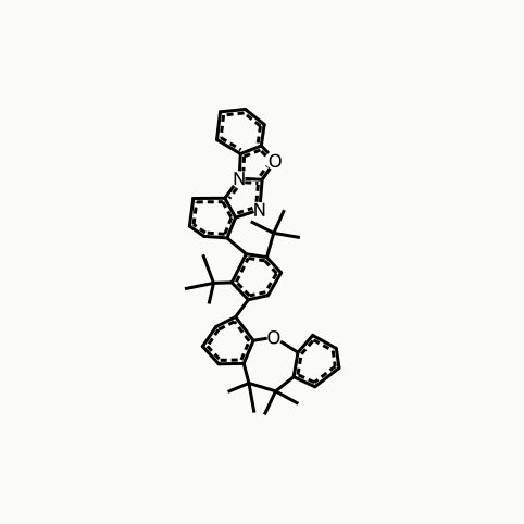 CC(C)(C)c1ccc(-c2cccc3c2Oc2ccccc2C(C)(C)C3(C)C)c(C(C)(C)C)c1-c1cccc2c1nc1oc3ccccc3n12